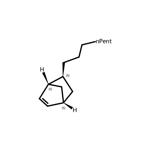 CCCCCCCC[C@H]1C[C@@H]2C=C[C@H]1C2